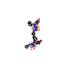 O=C1[C@H](Cc2ccc(O)cc2)N2C(=O)[C@H](CO)N(C(=O)NCc3ccc(-c4ccc5c(CN6C[C@@H]7N(CNCc8ccccc8)[C@H](CO)CC(=O)N7[C@@H](Cc7ccc(O)cc7)C6=O)cccc5c4)cc3)[C@H]2CN1Cc1cccc2ccccc12